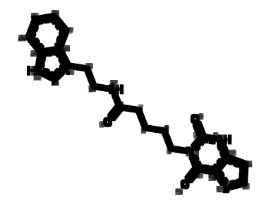 O=C(CCCCn1c(=O)[nH]c2ccsc2c1=O)NCCc1c[nH]c2ccccc12